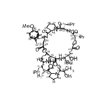 CC[C@H](C)[C@H]1NC(=O)[C@@H](NC(=O)[C@@H](CC(C)C)N(C)C(=O)C2CCCN2C(=O)[C@@H](C)O)[C@@H](C)OC(=O)[C@H](Cc2ccc(OC)cc2)N(C)C(=O)C2CCCN2C(=O)[C@H](CC(C)C)NC(=O)[C@H](C(C)C)OC(=O)C[C@@H]1O